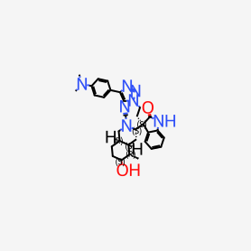 C[C@@H]1[C@H]2C[C@@H]([C@@]3(CCn4cc(-c5ccc(N(C)C)cc5)nn4)C(=O)Nc4ccccc43)N(C#N)C[C@@H]2CC[C@@H]1O